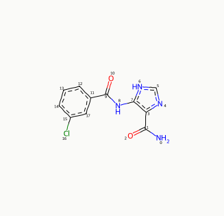 NC(=O)c1nc[nH]c1NC(=O)c1cccc(Cl)c1